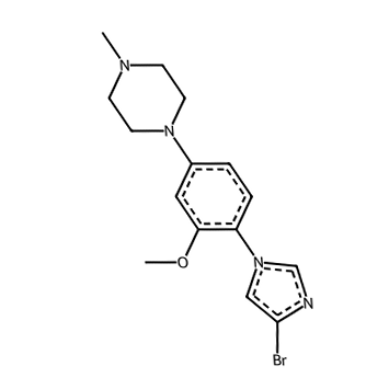 COc1cc(N2CCN(C)CC2)ccc1-n1cnc(Br)c1